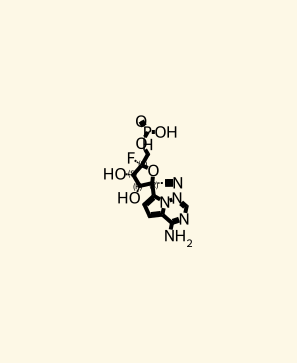 N#C[C@@]1(c2ccc3c(N)ncnn23)O[C@](F)(CO[PH](=O)O)[C@@H](O)[C@H]1O